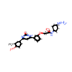 Cc1cc(-c2cc(-c3cccc(OCC(=O)NC4CCC(N)CC4)c3)[nH]c(=O)n2)ccc1O